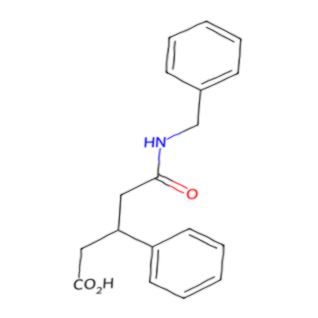 O=C(O)CC(CC(=O)NCc1ccccc1)c1ccccc1